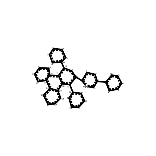 c1ccc(-c2ccc(-c3cc(-c4ccccc4)c4c5ccccc5c5ccccc5c4c3-c3ccccc3)nc2)cc1